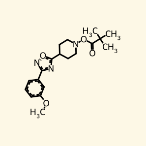 COc1cccc(-c2noc(C3CCN(OC(=O)C(C)(C)C)CC3)n2)c1